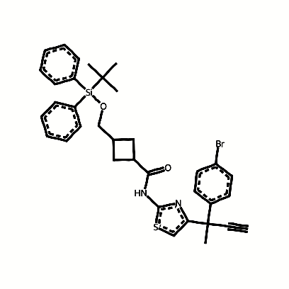 C#CC(C)(c1ccc(Br)cc1)c1csc(NC(=O)C2CC(CO[Si](c3ccccc3)(c3ccccc3)C(C)(C)C)C2)n1